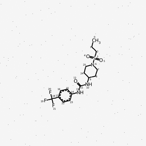 CCCS(=O)(=O)N1CCC(NC(=O)Nc2ccc(C(F)(F)F)cc2)CC1